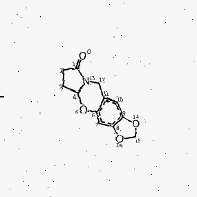 O=C1CCC2Oc3cc4c(cc3CN12)OCO4